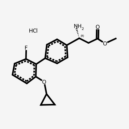 COC(=O)C[C@@H](N)c1ccc(-c2c(F)cccc2OC2CC2)cc1.Cl